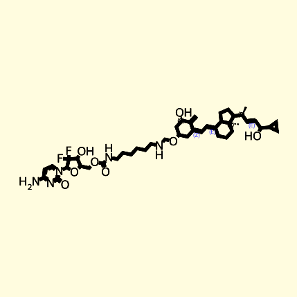 C=C1/C(=C\C=C2/CCC[C@@]3(C)C2CCC3[C@@H](C)/C=C/C(O)C2CC2)CC(OCNCCCCCCNC(=O)OCC2OC(n3ccc(N)nc3=O)C(F)(F)C2O)C[C@@H]1O